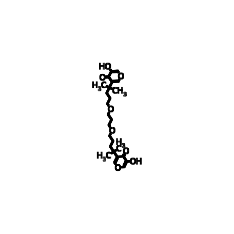 CC(C)(CCCOCCCOCCCC(C)(C)c1cocc(O)c1=O)c1cocc(O)c1=O